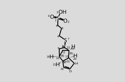 O=S(=O)(O)CCCS[C@@H]1C[C@H]2C[C@@H]1[C@H]1CC=C[C@@H]21